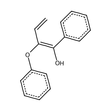 C=CC(Oc1ccccc1)=C(O)c1ccccc1